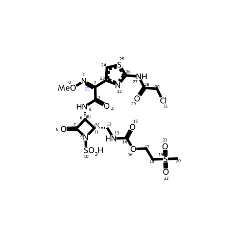 CO/N=C(\C(=O)N[C@H]1C(=O)N(S(=O)(=O)O)[C@H]1CNC(=O)OCCS(C)(=O)=O)c1csc(NC(=O)CCl)n1